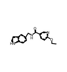 CCOc1ccc(C(=O)NCc2ccc3[nH]ccc3c2)cn1